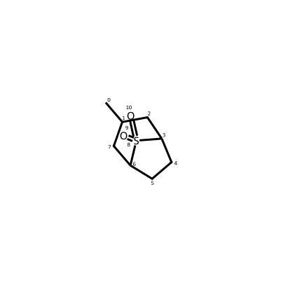 CC1CC2CCC(C1)S2(=O)=O